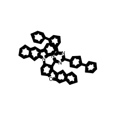 c1ccc(-c2ccc(-c3nc(-c4cccc(-c5ccccc5)c4)nc(-c4c(-n5c6ccccc6c6cc7ccccc7cc65)ccc5oc6cc7ccccc7cc6c45)n3)cc2)cc1